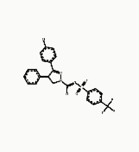 O=S(=O)(/N=C(\Cl)N1CC(c2ccccc2)C(c2ccc(Cl)cc2)=N1)c1ccc(C(F)(F)F)cc1